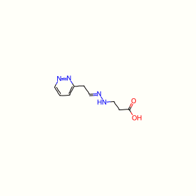 O=C(O)CCN/N=C/Cc1cccnn1